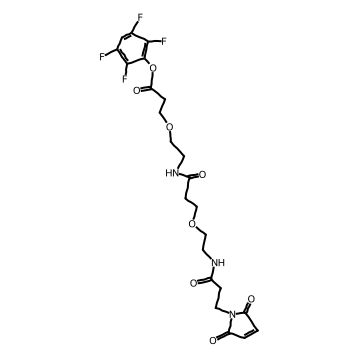 O=C(CCOCCNC(=O)CCN1C(=O)C=CC1=O)NCCOCCC(=O)Oc1c(F)c(F)cc(F)c1F